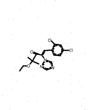 CCOC(C)(C)C(=O)/C(=C/c1ccc(Cl)cc1Cl)n1cncn1